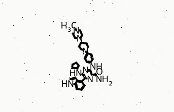 CN1CCN(C2CCN(c3ccc(Nc4nc(NC5CCCC5)c(-c5cccc6[nH]ccc56)nc4C(N)=O)cc3)CC2)CC1